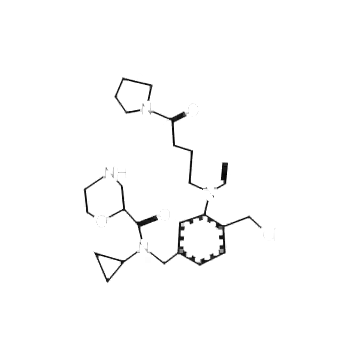 C=CN(CCCC(=O)N1CCCC1)c1cc(CN(C(=O)C2CNCCO2)C2CC2)ccc1CCl